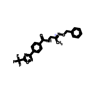 C/C(CNC(=O)c1ccc(-c2noc(C(F)(F)F)n2)cc1)=N\OCc1ccccc1